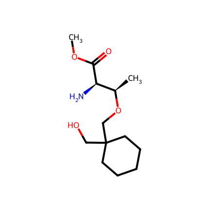 COC(=O)[C@H](N)[C@@H](C)OCC1(CO)CCCCC1